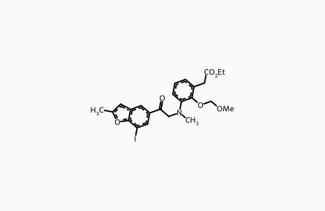 CCOC(=O)Cc1cccc(N(C)CC(=O)c2cc(I)c3oc(C)cc3c2)c1OCOC